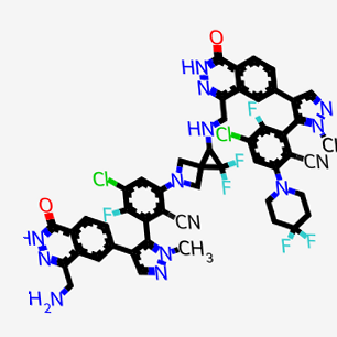 Cn1ncc(-c2ccc3c(=O)[nH]nc(CNC4C(F)(F)C45CN(c4cc(Cl)c(F)c(-c6c(-c7ccc8c(=O)[nH]nc(CN)c8c7)cnn6C)c4C#N)C5)c3c2)c1-c1c(F)c(Cl)cc(N2CCC(F)(F)CC2)c1C#N